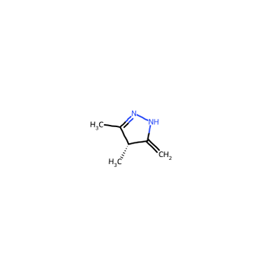 C=C1NN=C(C)[C@H]1C